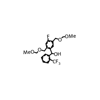 COCOCc1cc(C(O)c2ccccc2C(F)(F)F)c(COCOC)cc1F